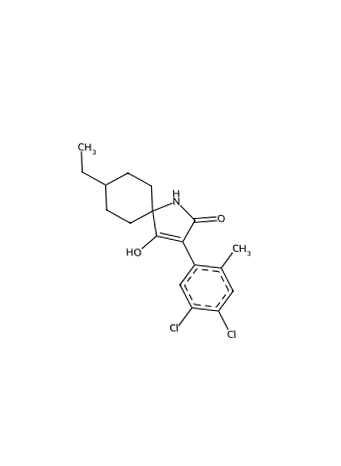 CCC1CCC2(CC1)NC(=O)C(c1cc(Cl)c(Cl)cc1C)=C2O